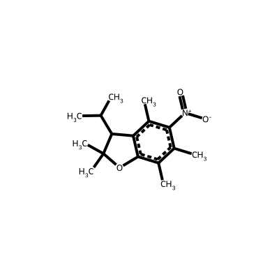 Cc1c(C)c([N+](=O)[O-])c(C)c2c1OC(C)(C)C2C(C)C